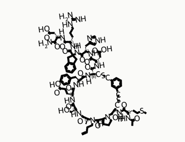 C=CCCN1C(=O)[C@@H]2CCCN2C(O)[C@@H](NC(=O)[C@H](CCSC)NC(C)=O)CSCc2cccc(c2)CSC[C@@H](C(=O)N[C@@H](CC(=O)O)C(=O)N[C@@H](Cc2c[nH]cn2)C(=O)NC2(C(=O)N[C@@H](CCCNC(=N)N)C(=O)N[C@@H](CC(=O)O)C(N)=O)Cc3ccccc3C2)NC(=O)[C@H](Cc2ccccc2)NC(=O)[C@H](CCC(=O)O)NC(=O)[C@H](CO)NC(=O)[C@@H]1C